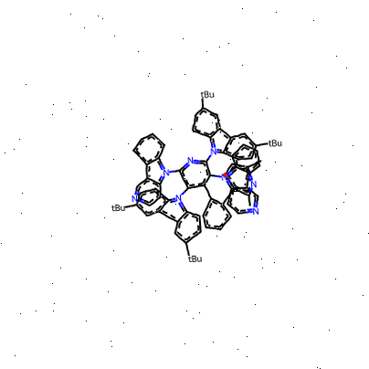 Cc1ccc(-c2ccccc2-c2c(-n3c4ccccc4c4cnccc43)c(-n3c4ccc(C(C)(C)C)cc4c4cc(C(C)(C)C)ccc43)nc(-n3c4ccccc4c4cnccc43)c2-n2c3ccc(C(C)(C)C)cc3c3cc(C(C)(C)C)ccc32)c(C)n1